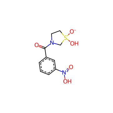 O=C(c1cccc([N+](=O)O)c1)N1CCS([O-])(O)C1